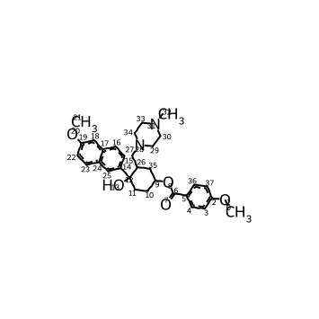 COc1ccc(C(=O)OC2CCC(O)(c3ccc4cc(OC)ccc4c3)C(CN3CCN(C)CC3)C2)cc1